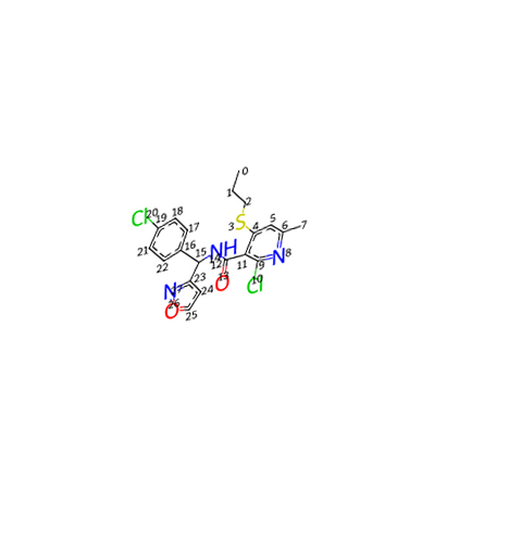 CCCSc1cc(C)nc(Cl)c1C(=O)NC(c1ccc(Cl)cc1)c1ccon1